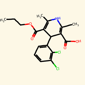 CCCOC(=O)C1=C(C)NC(C)=C(C(=O)O)C1c1cccc(Cl)c1Cl